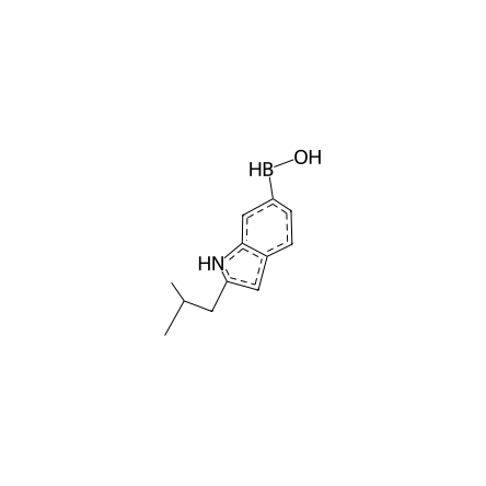 CC(C)Cc1cc2ccc(BO)cc2[nH]1